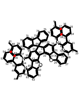 Cc1ccc(N(c2ncc(C)cc2-c2ccccc2)c2cc3c(c4oc5ccccc5c24)-c2c(cc(N(c4ccc(C)cc4)c4ncc(C)cc4-c4ccccc4)c4c2oc2ccccc24)C32c3ccccc3-c3ccccc32)cc1